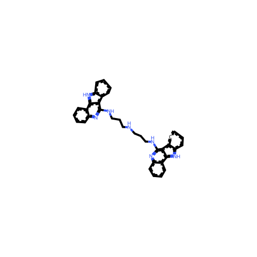 c1ccc2c(c1)nc(NCCCNCCCNc1nc3ccccc3c3[nH]c4ccccc4c13)c1c3ccccc3[nH]c21